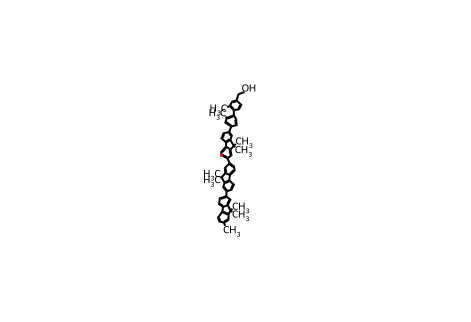 Cc1ccc2c(c1)C(C)(C)c1cc(-c3ccc4c(c3)C(C)(C)c3cc(-c5ccc6c(c5)C(C)(C)c5cc(-c7ccc(-c8ccc(CCO)cc8C)c(C)c7)ccc5-6)ccc3-4)ccc1-2